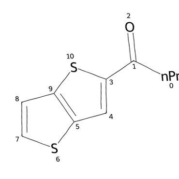 CCCC(=O)c1cc2sccc2s1